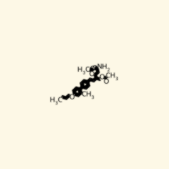 CCCCOc1ccc(-c2ccc(CCC(COC(C)=O)C(CC(N)=O)OC(C)=O)cc2)c(C)c1